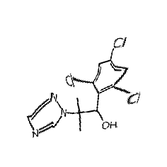 CC(C)(C(O)c1c(Cl)cc(Cl)cc1Cl)n1cncn1